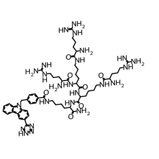 N=C(N)NCCCC(N)C(=O)NCCCCC(NC(=O)C(N)CCCNC(=N)N)C(=O)NC(CCCCNC(=O)C(N)CCCNC(=N)N)C(=O)NC(CCCCNC(=O)c1ccc(Cn2c3ccccc3c3cc(-c4nn[nH]n4)ccc32)cc1)C(N)=O